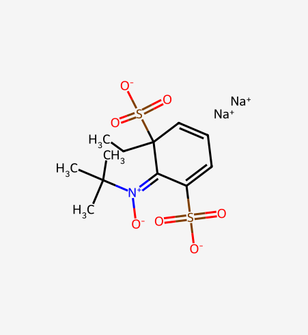 CCC1(S(=O)(=O)[O-])C=CC=C(S(=O)(=O)[O-])C1=[N+]([O-])C(C)(C)C.[Na+].[Na+]